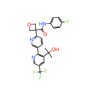 CC(C)(O)c1cc(C(F)(F)F)cnc1-c1ccc(C2(C(=O)Nc3ccc(F)cc3)COC2)nc1